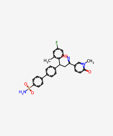 Cc1cc(F)ccc1C(C/C(=N\O)c1ccc(=O)n(C)c1)c1ccc(-c2ccc(S(N)(=O)=O)cc2)cc1